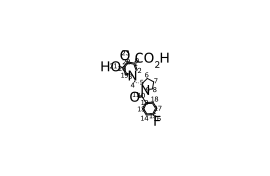 O=C(O)c1cn(C[C@@H]2CCCN2C(=O)c2ccc(F)cc2)cc(O)c1=O